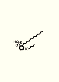 CCCCCCCCCCCCc1ccccc1S(=O)(=O)O.CCCCO